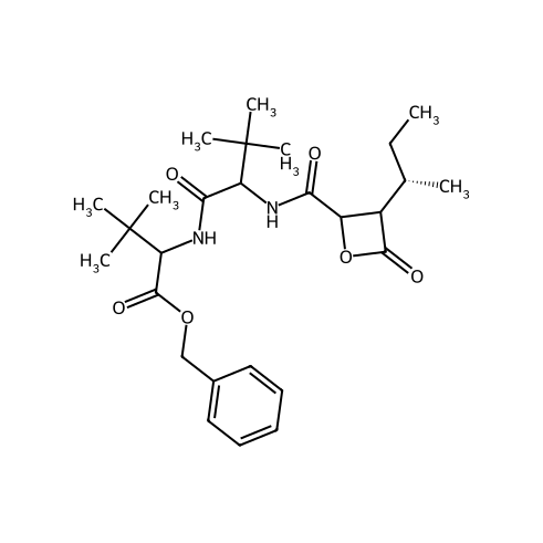 CC[C@H](C)C1C(=O)OC1C(=O)NC(C(=O)NC(C(=O)OCc1ccccc1)C(C)(C)C)C(C)(C)C